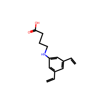 C=Cc1cc(C=C)cc(NCCCC(=O)O)c1